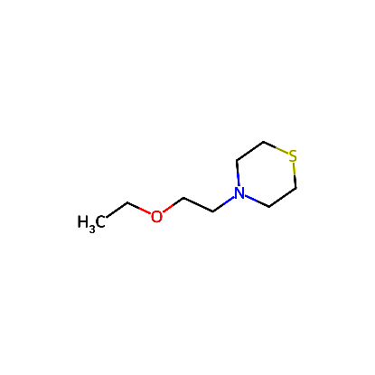 CCOCCN1CCSCC1